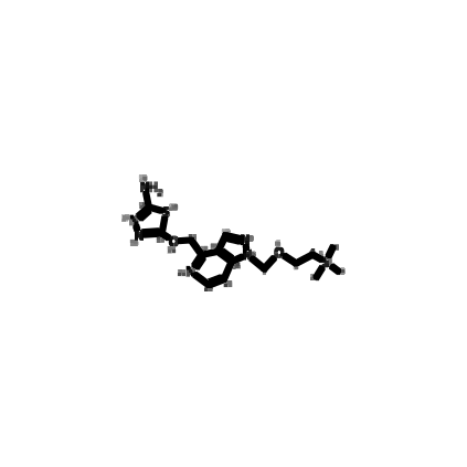 C[Si](C)(C)CCOCn1ncc2c(COc3nnc(N)s3)nccc21